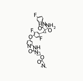 CN(C)CC(=O)OC1CN(C(=O)Nc2cc(Oc3cc(F)c(C4CC4(C(N)=O)C(=O)Nc4ccc(F)cc4)cc3F)ccn2)C1